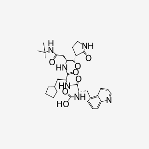 CC(C)(C)NC(=O)C[C@H](NC(=O)[C@H](CC1CCCC1)NC(=O)[C@H](Cc1cccc2ncccc12)NC(=O)O)C(=O)[C@@H]1CCNC1=O